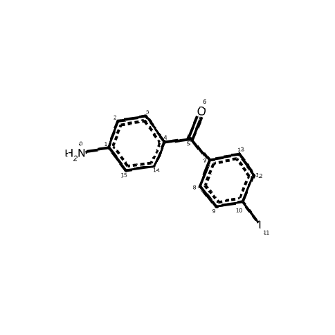 Nc1ccc(C(=O)c2ccc(I)cc2)cc1